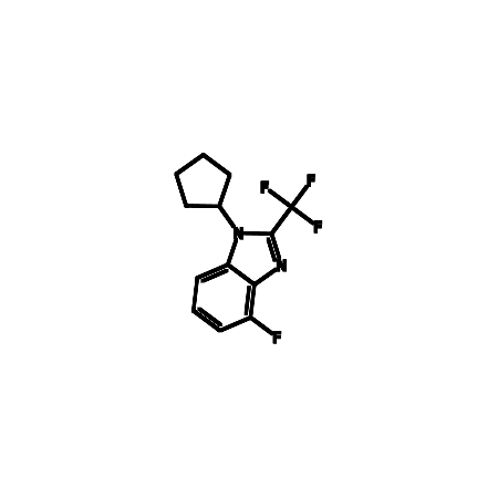 Fc1cccc2c1nc(C(F)(F)F)n2C1CCCC1